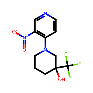 O=[N+]([O-])c1cnccc1N1CCCC(O)(C(F)(F)F)C1